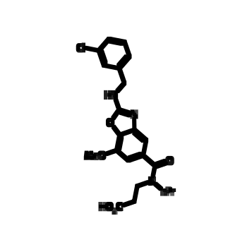 CCCN(CCC(=O)O)C(=O)c1cc(OC)c2oc(NCc3cccc(Cl)c3)nc2c1